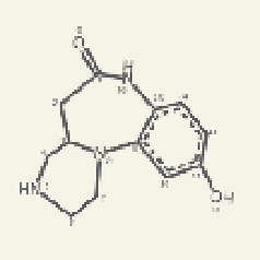 O=C1CC2CNCCN2c2cc(O)ccc2N1